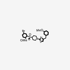 COc1cccc(Cc2csc(N3CCC(S(=O)(=O)c4cc(Br)ccc4OC)CC3)n2)c1